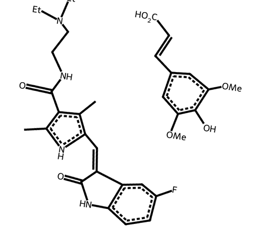 CCN(CC)CCNC(=O)c1c(C)[nH]c(C=C2C(=O)Nc3ccc(F)cc32)c1C.COc1cc(C=CC(=O)O)cc(OC)c1O